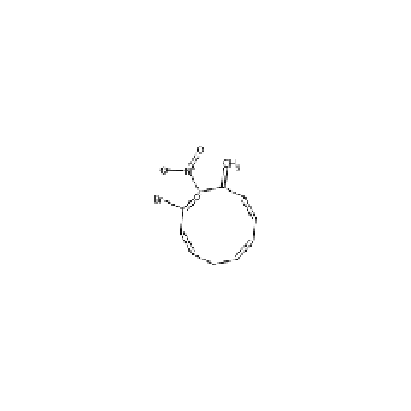 C=C1/C=C\C=C/C/C=C\C(Br)=C/1[N+](=O)[O-]